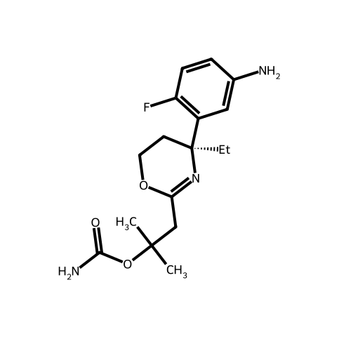 CC[C@@]1(c2cc(N)ccc2F)CCOC(CC(C)(C)OC(N)=O)=N1